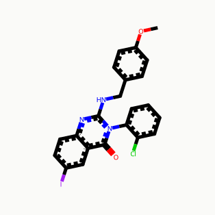 COc1ccc(CNc2nc3ccc(I)cc3c(=O)n2-c2ccccc2Cl)cc1